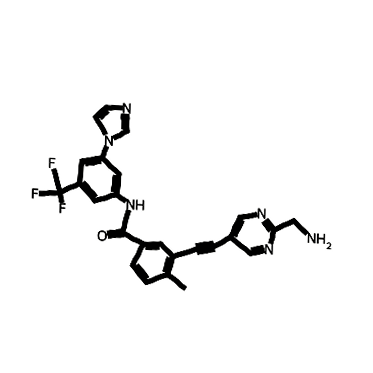 Cc1ccc(C(=O)Nc2cc(-n3ccnc3)cc(C(F)(F)F)c2)cc1C#Cc1cnc(CN)nc1